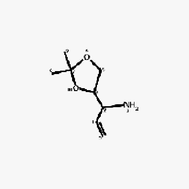 C=CC(N)C1COC(C)(C)O1